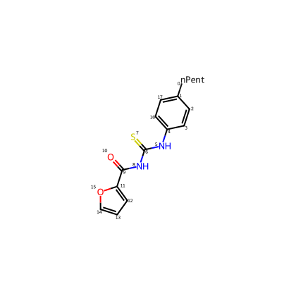 CCCCCc1ccc(NC(=S)NC(=O)c2ccco2)cc1